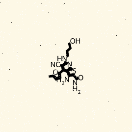 Cc1ccc(-c2c(C#N)c(NCCCCO)nc3sc(C(N)=O)c(N)c23)o1